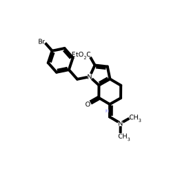 CCOC(=O)c1cc2c(n1Cc1ccc(Br)cc1)C(=O)/C(=C/N(C)C)CC2